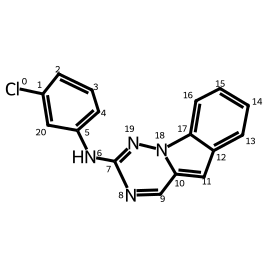 Clc1cccc(Nc2ncc3cc4ccccc4n3n2)c1